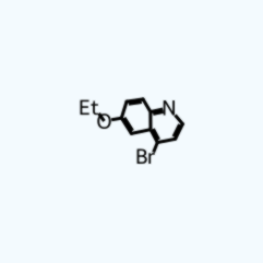 CCOc1ccc2nccc(Br)c2c1